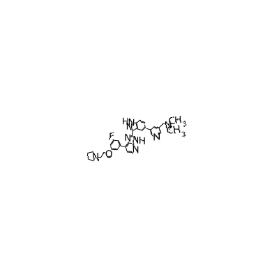 CN(C)Cc1cncc(-c2ccc3[nH]nc(-c4nc5c(-c6cc(F)cc(OCCN7CCCC7)c6)ccnc5[nH]4)c3c2)c1